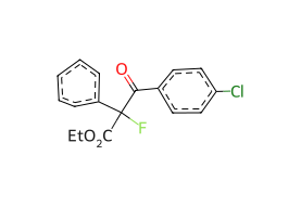 CCOC(=O)C(F)(C(=O)c1ccc(Cl)cc1)c1ccccc1